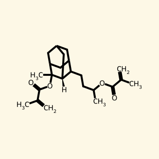 C=C(C)C(=O)OC(C)CCC1C2CC3CC(C2)C(C)(OC(=O)C(=C)C)[C@@H]1C3